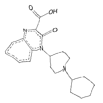 O=C(O)c1nc2ccccc2n(C2CCN(C3CCCCC3)CC2)c1=O